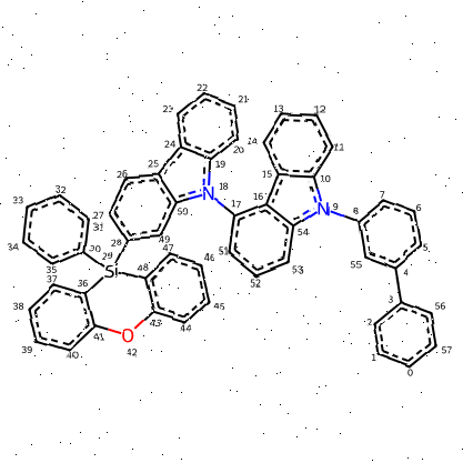 c1ccc(-c2cccc(-n3c4ccccc4c4c(-n5c6ccccc6c6ccc([Si]7(c8ccccc8)c8ccccc8Oc8ccccc87)cc65)cccc43)c2)cc1